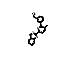 Cc1ccc(-c2ncc3ccccc3n2)nc1-c1cccc(CC#N)c1